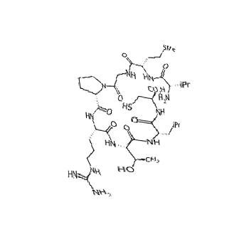 CSCC[C@H](NC(=O)[C@@H](N)C(C)C)C(=O)NCC(=O)N1CCC[C@H]1C(=O)N[C@@H](CCCNC(=N)N)C(=O)N[C@H](C(=O)N[C@@H](CC(C)C)C(=O)N[C@@H](CS)C(=O)O)[C@@H](C)O